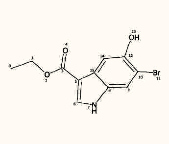 CCOC(=O)c1c[nH]c2cc(Br)c(O)cc12